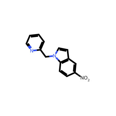 O=[N+]([O-])c1ccc2c(ccn2Cc2ccccn2)c1